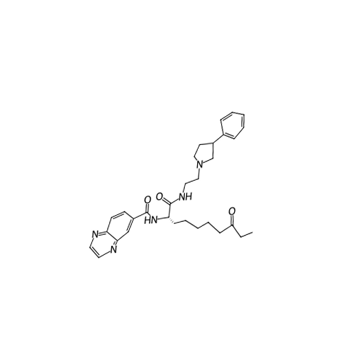 CCC(=O)CCCCC[C@H](NC(=O)c1ccc2nccnc2c1)C(=O)NCCN1CCC(c2ccccc2)C1